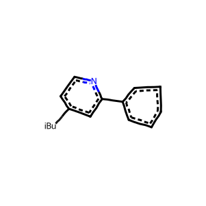 CCC(C)c1ccnc(-c2ccccc2)c1